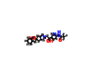 CC(C)(C)C(=O)Nc1ccc(C(O)CN2CC3CC(O)(Cc4ccccc4)CC3C2)cn1